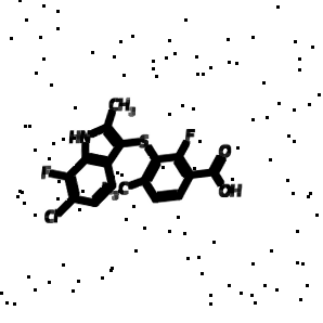 Cc1ccc(C(=O)O)c(F)c1Sc1c(C)[nH]c2c(F)c(Cl)ccc12